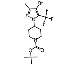 Cc1nn(C2CCN(C(=O)OC(C)(C)C)CC2)c(C(F)(F)F)c1Br